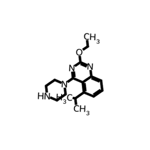 CCOc1nc(N2CCNCC2)c2c(C(C)C)cccc2n1